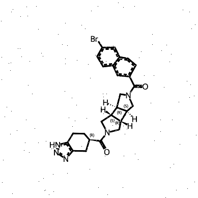 O=C(c1ccc2cc(Br)ccc2c1)N1C[C@@H]2[C@H](C1)[C@H]1CN(C(=O)[C@@H]3CCc4[nH]nnc4C3)C[C@@H]21